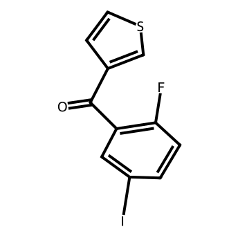 O=C(c1ccsc1)c1cc(I)ccc1F